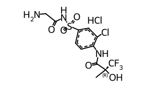 C[C@@](O)(C(=O)Nc1ccc(S(=O)(=O)NC(=O)CN)cc1Cl)C(F)(F)F.Cl